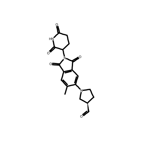 Cc1cc2c(cc1N1CC[C@@H](C=O)C1)C(=O)N(C1CCC(=O)NC1=O)C2=O